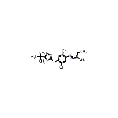 CCN(C)/C=N/c1cc(Cl)c(Oc2nc(C(C)(C)C)ns2)cc1C